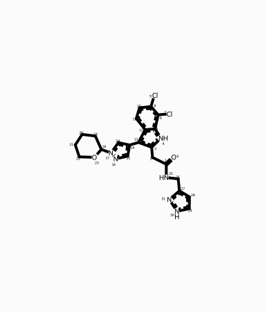 O=C(Cc1[nH]c2c(Cl)c(Cl)ccc2c1-c1cnn(C2CCCCO2)c1)NCc1cc[nH]n1